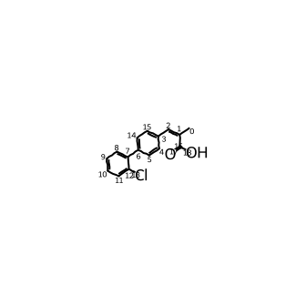 CC(=Cc1ccc(-c2ccccc2Cl)cc1)C(=O)O